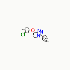 Cc1ccc(Oc2cccn3c(C45CCC(C)(CC4)CC5)nnc23)cc1Cl